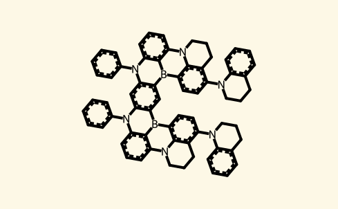 c1ccc(N2c3cc4c(cc3B3c5ccc(N6CCCc7ccccc76)c6c5N(CCC6)c5cccc2c53)B2c3ccc(N5CCCc6ccccc65)c5c3N(CCC5)c3cccc(c32)N4c2ccccc2)cc1